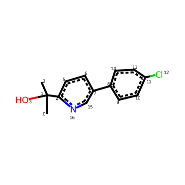 CC(C)(O)c1ccc(-c2ccc(Cl)cc2)cn1